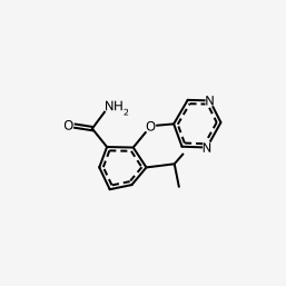 CC(C)c1cccc(C(N)=O)c1Oc1cncnc1